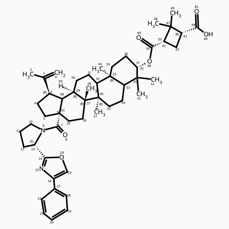 C=C(C)[C@@H]1CC[C@]2(C(=O)N3CCC[C@H]3c3nc(-c4ccccc4)co3)CC[C@]3(C)[C@H](CCC4[C@@]5(C)CC[C@H](OC(=O)[C@H]6C[C@@H](C(=O)O)C6(C)C)C(C)(C)C5CC[C@]43C)C12